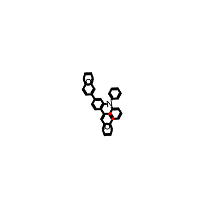 c1ccc(N(c2ccccc2)c2cc(-c3ccc4c5ccc(o5)c4c3)ccc2-c2ccc3c4ccc(o4)c3c2)cc1